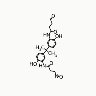 CC(C)(c1ccc(O)c(NC(=O)CCC=O)c1)c1ccc(O)c(NC(=O)CCN=O)c1